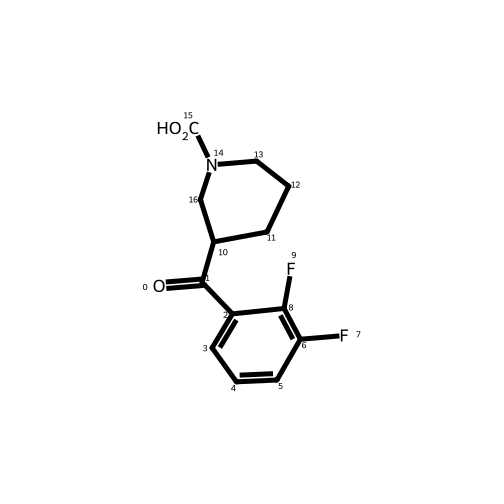 O=C(c1cccc(F)c1F)C1CCCN(C(=O)O)C1